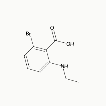 CCNc1cccc(Br)c1C(=O)O